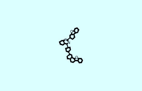 c1ccc2c(-c3ccc(-c4ccc5ccc6c7ccccc7oc6c5c4)cc3)nc(-c3ccc4c(c3)oc3ccccc34)nc2c1